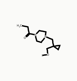 CCC(=O)N1CCN(CC2(COI)CC2)CC1